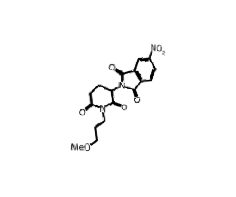 COCCCN1C(=O)CCC(N2C(=O)c3ccc([N+](=O)[O-])cc3C2=O)C1=O